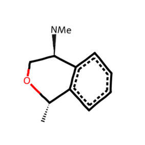 CN[C@@H]1CO[C@@H](C)c2ccccc21